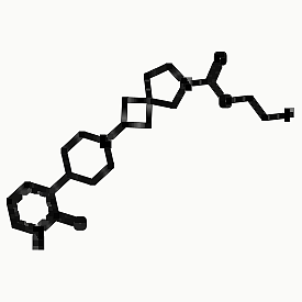 O=C(OCCF)N1CCC2(CC(N3CCC(c4ccc[nH]c4=O)CC3)C2)C1